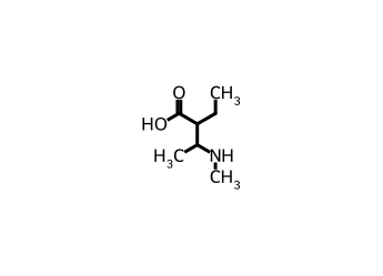 CCC(C(=O)O)C(C)NC